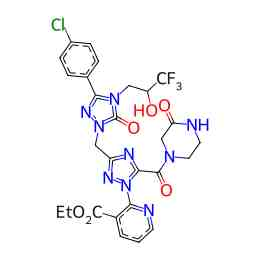 CCOC(=O)c1cccnc1-n1nc(Cn2nc(-c3ccc(Cl)cc3)n(CC(O)C(F)(F)F)c2=O)nc1C(=O)N1CCNC(=O)C1